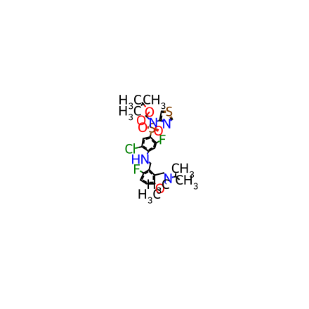 COc1ccc(F)c(CNc2cc(F)c(S(=O)(=O)N(C(=O)OC(C)(C)C)c3cscn3)cc2Cl)c1CN(C)C(C)C